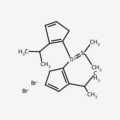 CC(C)C1=[C]([Ti+2]([C]2=C(C(C)C)C=CC2)=[Si](C)C)CC=C1.[Br-].[Br-]